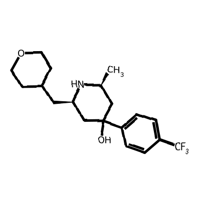 C[C@H]1CC(O)(c2ccc(C(F)(F)F)cc2)C[C@@H](CC2CCOCC2)N1